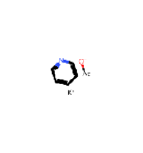 CC(=O)[O-].[K+].c1ccncc1